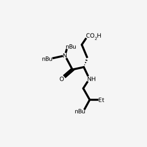 CCCCC(CC)CN[C@@H](CCC(=O)O)C(=O)N(CCCC)CCCC